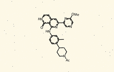 COc1cncc(-c2cc3cc[nH]c(=O)c3c(Nc3ccc(C4CCN(C(C)=O)CC4)c(C)c3)n2)n1